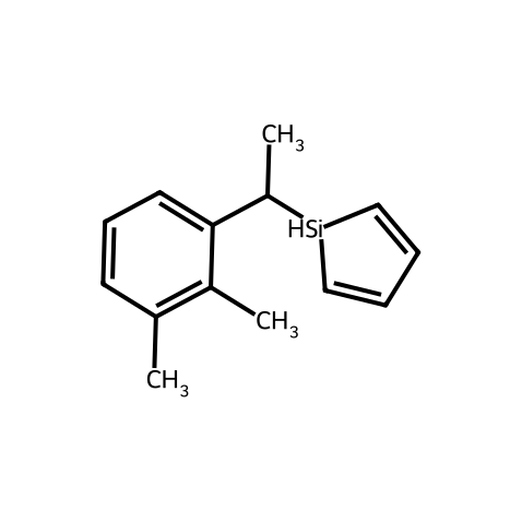 Cc1cccc(C(C)[SiH]2C=CC=C2)c1C